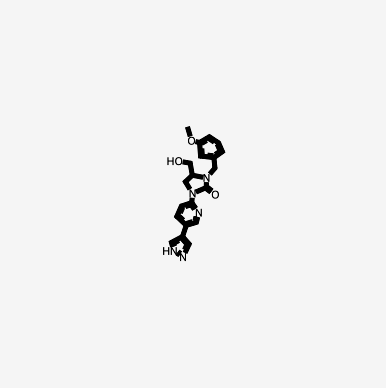 COc1cccc(CN2C(=O)N(c3ccc(-c4cn[nH]c4)cn3)CC2CO)c1